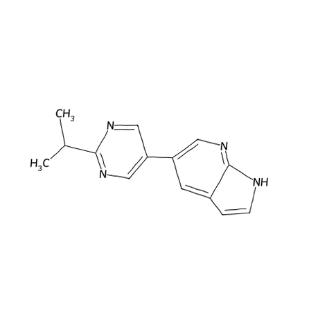 CC(C)c1ncc(-c2cnc3[nH]ccc3c2)cn1